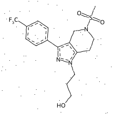 CS(=O)(=O)N1CCc2c(c(-c3ccc(C(F)(F)F)cc3)nn2CCCO)C1